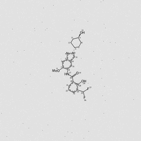 COc1cc2nn([C@H]3CC[C@H](O)CC3)cc2cc1NC(=O)c1cccc(C(F)F)[n+]1O